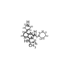 C[C@@H](Nc1nc(NCC2CCCCCC2)nc2c(C3=CCNCC3)cccc12)C1CC1